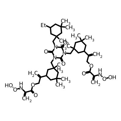 C=C(NOO)C(=O)OCC(=C)C1CC(C)(C)CC(C)(Cn2c(=O)n(CC3(C)CC(CC)CC(C)(C)C3)c(=O)n(CC3(C)CC(C(=C)COC(=O)C(=C)NOO)CC(C)(C)C3)c2=O)C1